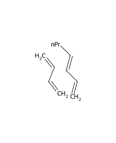 C=CC=C.C=CC=CCCC